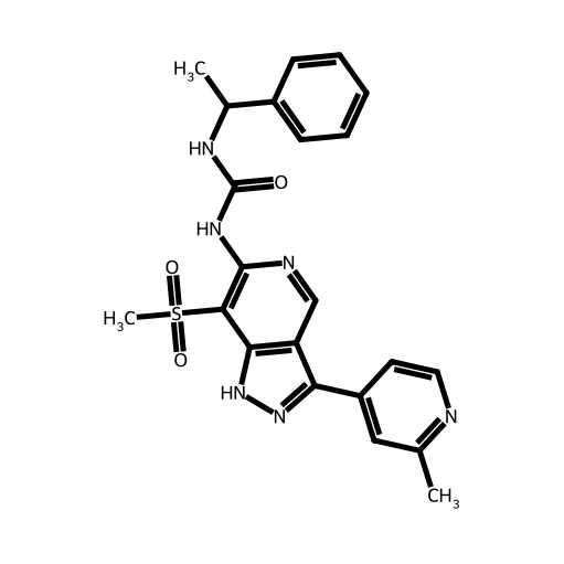 Cc1cc(-c2n[nH]c3c(S(C)(=O)=O)c(NC(=O)NC(C)c4ccccc4)ncc23)ccn1